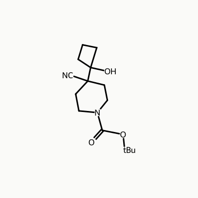 CC(C)(C)OC(=O)N1CCC(C#N)(C2(O)CCC2)CC1